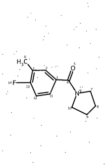 Cc1cc(C(=O)N2CCCC2)ccc1F